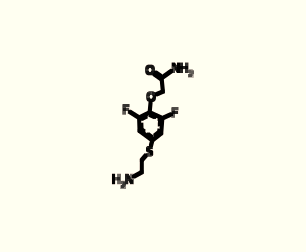 NCCSc1cc(F)c(OCC(N)=O)c(F)c1